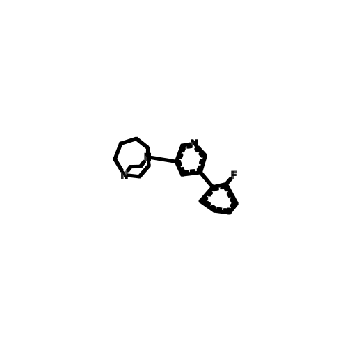 Fc1ccccc1-c1cncc(N2CCN3CCCC2CC3)c1